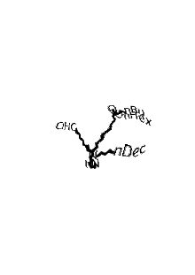 CCCCCCCCCCCCCCCN(Cc1nccn1C)C(CCCCCCCCC=O)CCCCCCCCC(=O)OCC(CCCC)CCCCCC